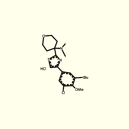 COc1c(Cl)cc(-c2csc(C3(N(C)C)CCOCC3)n2)cc1C(C)(C)C.Cl